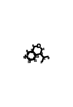 CC(C)C1COCc2cnccc21